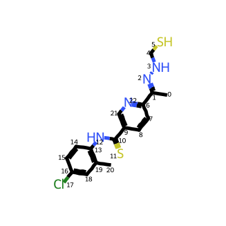 CC(=NNCS)c1ccc(C(=S)Nc2ccc(Cl)cc2C)cn1